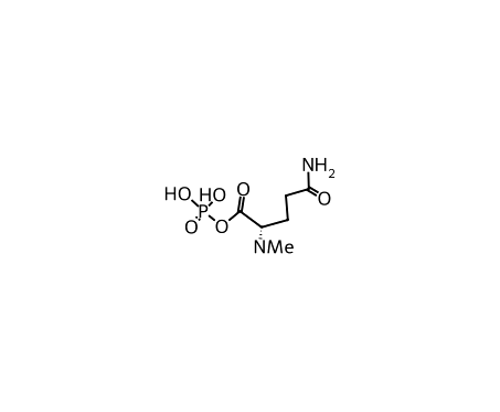 CN[C@@H](CCC(N)=O)C(=O)OP(=O)(O)O